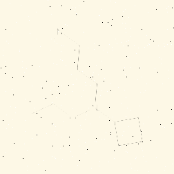 CCON(CCCN)C1CCC1